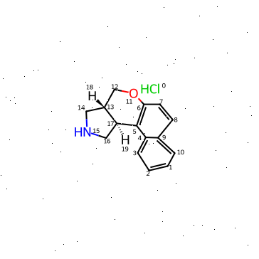 Cl.c1ccc2c3c(ccc2c1)OC[C@H]1CNC[C@H]31